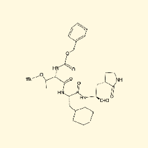 CC(OC(C)(C)C)[C@H](NC(=O)OCc1ccccc1)C(=O)N[C@@H](CC1CCCCC1)C(=O)N[C@H](C=O)C[C@@H]1CCNC1=O